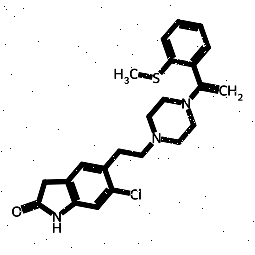 C=C(c1ccccc1SC)N1CCN(CCc2cc3c(cc2Cl)NC(=O)C3)CC1